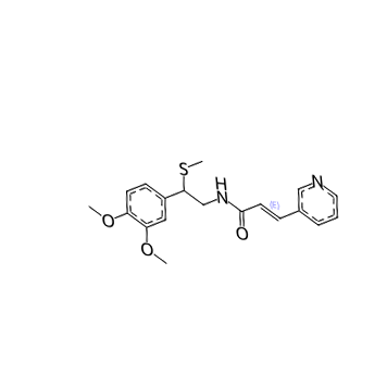 COc1ccc(C(CNC(=O)/C=C/c2cccnc2)SC)cc1OC